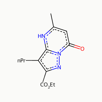 CCCc1c(C(=O)OCC)nn2c(=O)cc(C)[nH]c12